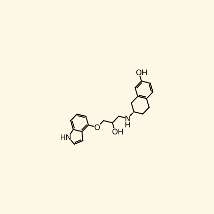 Oc1ccc2c(c1)C[C@H](NCC(O)COc1cccc3[nH]ccc13)CC2